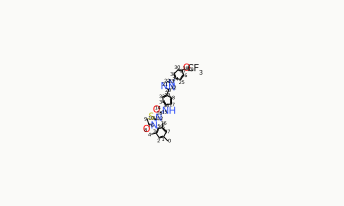 Cc1cc(C)c(N2C(=O)CS/C2=N\C(=O)Nc2ccc(-c3ncn(-c4ccc(OC(F)(F)F)cc4)n3)cc2)c(C)c1